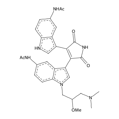 COC(CN(C)C)Cn1cc(C2=C(c3c[nH]c4ccc(NC(C)=O)cc34)C(=O)NC2=O)c2cc(NC(C)=O)ccc21